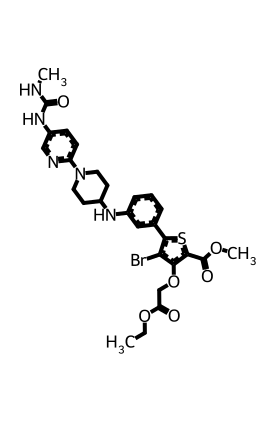 CCOC(=O)COc1c(C(=O)OC)sc(-c2cccc(NC3CCN(c4ccc(NC(=O)NC)cn4)CC3)c2)c1Br